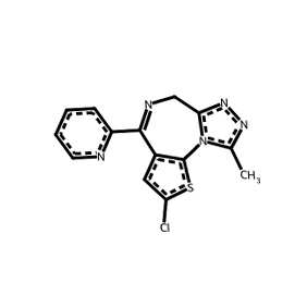 Cc1nnc2n1-c1sc(Cl)cc1C(c1ccccn1)=NC2